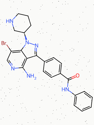 Nc1ncc(Br)c2c1c(-c1ccc(C(=O)Nc3ccccc3)cc1)nn2[C@@H]1CCCNC1